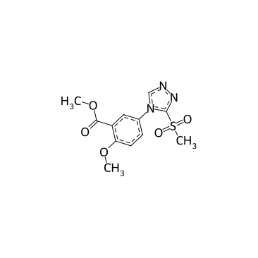 COC(=O)c1cc(-n2cnnc2S(C)(=O)=O)ccc1OC